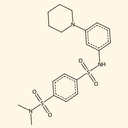 CN(C)S(=O)(=O)c1ccc(S(=O)(=O)Nc2cccc(N3CCCCC3)c2)cc1